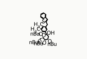 CCCCOC[C@H]1OC(O)(c2cc(Cc3cc4ccccc4s3)c(C)c(C)c2OCCCC)C[C@@H](OCCCC)[C@@H]1OCCCC